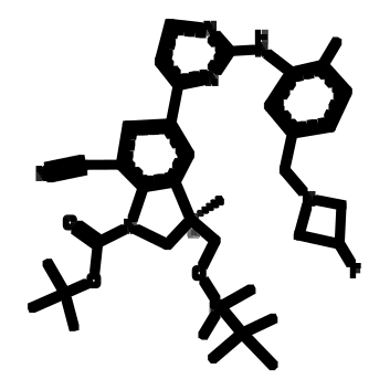 Cc1ccc(CN2CC(F)C2)cc1Nc1nccc(-c2cc(C#N)c3c(c2)[C@@](C)(CO[Si](C)(C)C(C)(C)C)CN3C(=O)OC(C)(C)C)n1